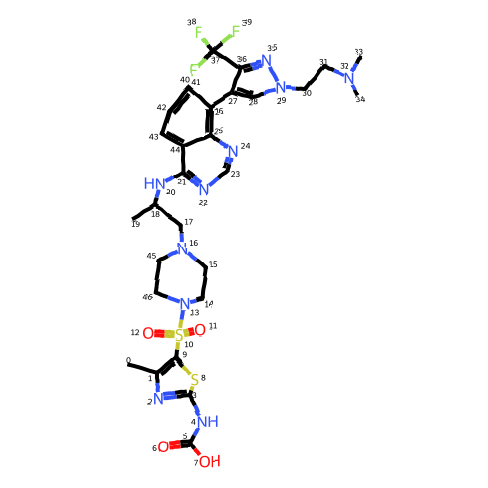 Cc1nc(NC(=O)O)sc1S(=O)(=O)N1CCN(CC(C)Nc2ncnc3c(-c4cn(CCN(C)C)nc4C(F)(F)F)cccc23)CC1